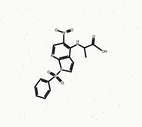 CC(Nc1c([N+](=O)[O-])cnc2c1ccn2S(=O)(=O)c1ccccc1)C(=O)O